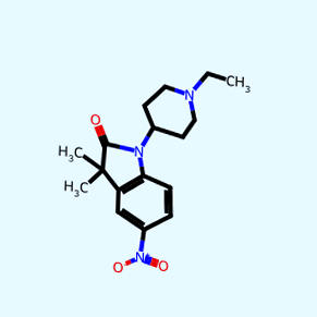 CCN1CCC(N2C(=O)C(C)(C)c3cc([N+](=O)[O-])ccc32)CC1